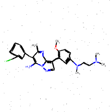 COc1ccc(N(C)CCN(C)C)cc1-c1cnn2c(N)c(-c3cccc(Cl)c3)c(C)nc12